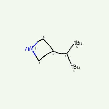 CC(C)(C)C(C1CNC1)C(C)(C)C